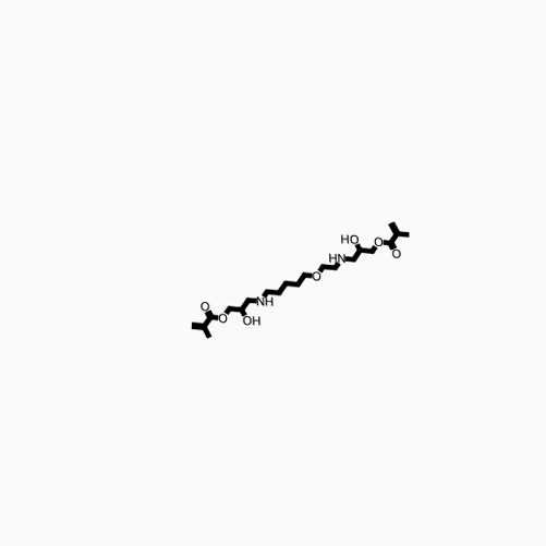 C=C(C)C(=O)OCC(O)CNCCCCCOCCNCC(O)COC(=O)C(=C)C